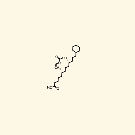 C=COC(C)=O.O=C(O)CCCCCCCCCCCCC1CCCCC1